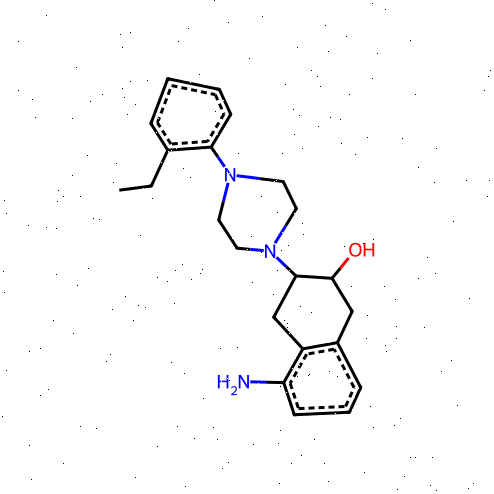 CCc1ccccc1N1CCN(C2Cc3c(N)cccc3CC2O)CC1